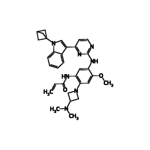 C=CC(=O)Nc1cc(Nc2nccc(-c3cn(C45CC(C4)C5)c4ccccc34)n2)c(OC)cc1N1CC(N(C)C)C1